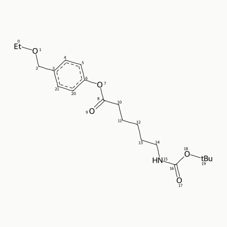 CCOCc1ccc(OC(=O)CCCCCNC(=O)OC(C)(C)C)cc1